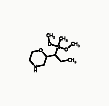 CCC(C1CNCCO1)[Si](C)(OC)OC